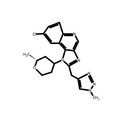 C[C@@H]1CC(n2c(Cc3cn(C)nn3)nc3cnc4ccc(Cl)cc4c32)CCO1